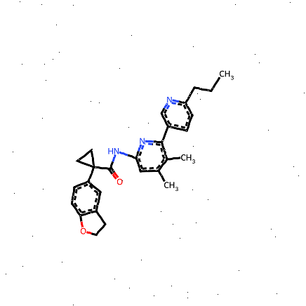 CCCc1ccc(-c2nc(NC(=O)C3(c4ccc5c(c4)CCO5)CC3)cc(C)c2C)cn1